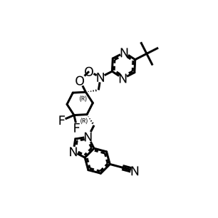 CC(C)(C)c1cnc(N2C[C@]3(CCC(F)(F)[C@@H](Cn4cnc5ccc(C#N)cc54)C3)OO2)cn1